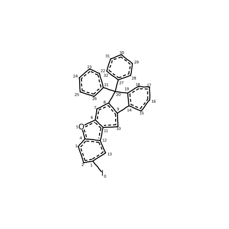 Ic1ccc2oc3cc4c(cc3c2c1)-c1ccccc1C4(c1ccccc1)c1ccccc1